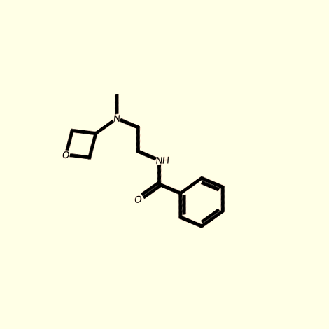 CN(CCNC(=O)c1ccccc1)C1COC1